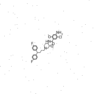 COc1cc(N)c(Cl)cc1C(=O)NC1CCN(CCCC(c2ccc(F)cc2)c2ccc(F)cc2)CC1OC